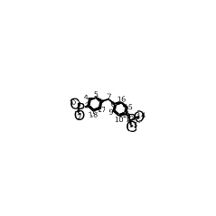 O=P(=O)c1ccc(Cc2ccc(P(=O)=O)cc2)cc1